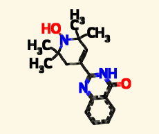 CC1(C)C=C(c2nc3ccccc3c(=O)[nH]2)CC(C)(C)N1O